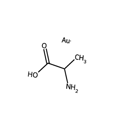 CC(N)C(=O)O.[Au]